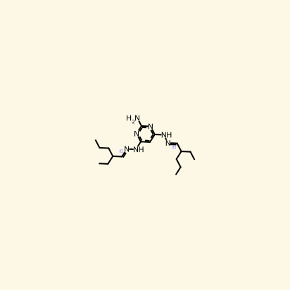 CCCC(/C=N/Nc1cc(N/N=C/C(CC)CCC)nc(N)n1)CC